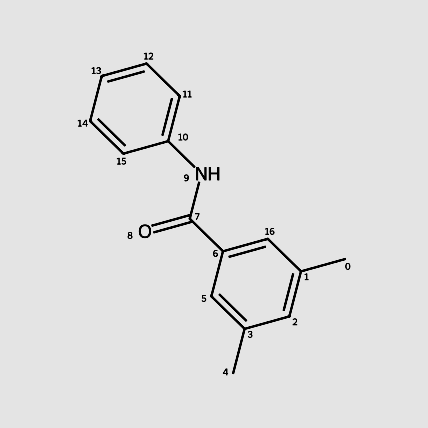 Cc1cc(C)cc(C(=O)Nc2ccccc2)c1